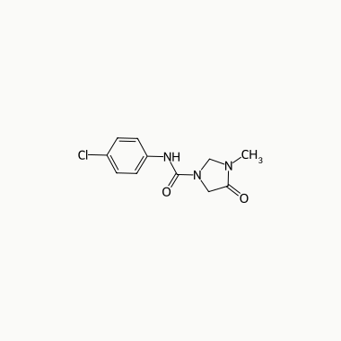 CN1CN(C(=O)Nc2ccc(Cl)cc2)CC1=O